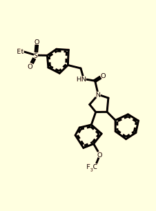 CCS(=O)(=O)c1ccc(CNC(=O)N2CC(c3ccccc3)C(c3cccc(OC(F)(F)F)c3)C2)cc1